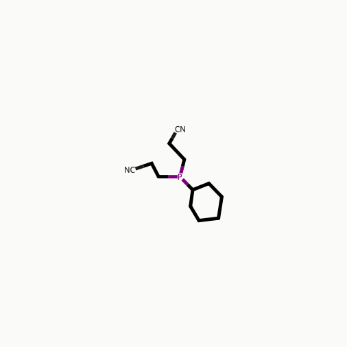 N#CCCP(CCC#N)C1CCCCC1